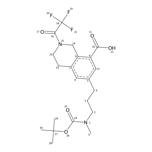 CN(CCCc1cc2c(c(C(=O)O)c1)CN(C(=O)C(F)(F)F)CC2)C(=O)OC(C)(C)C